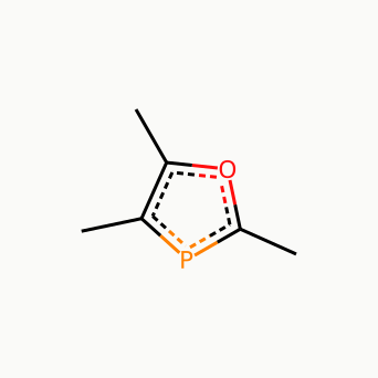 Cc1oc(C)c(C)p1